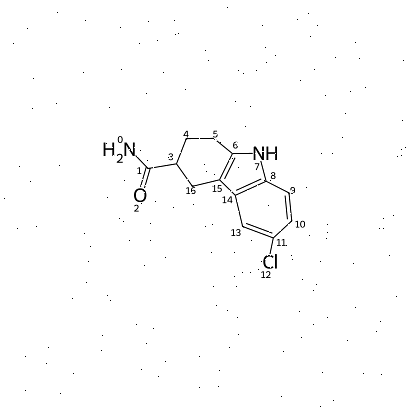 NC(=O)C1CCc2[nH]c3ccc(Cl)cc3c2C1